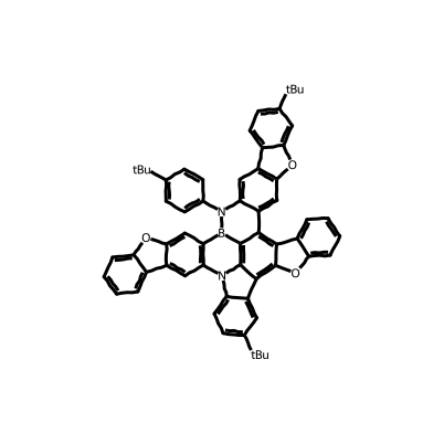 CC(C)(C)c1ccc(N2B3c4cc5oc6ccccc6c5cc4-n4c5ccc(C(C)(C)C)cc5c5c6oc7ccccc7c6c(c3c54)-c3cc4oc5cc(C(C)(C)C)ccc5c4cc32)cc1